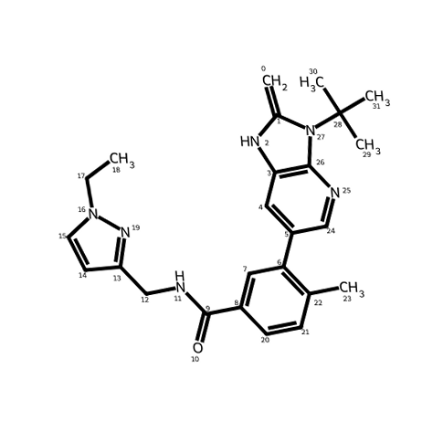 C=C1Nc2cc(-c3cc(C(=O)NCc4ccn(CC)n4)ccc3C)cnc2N1C(C)(C)C